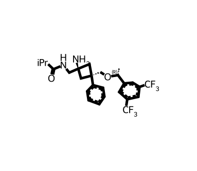 CC(C)C(=O)NC[C@]1(N)C[C@@](CO[C@H](C)c2cc(C(F)(F)F)cc(C(F)(F)F)c2)(c2ccccc2)C1